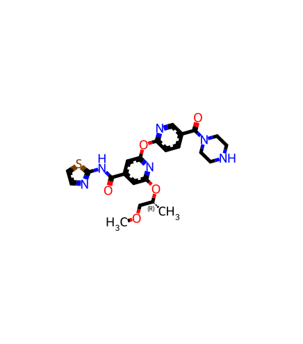 COC[C@@H](C)Oc1cc(C(=O)Nc2nccs2)cc(Oc2ccc(C(=O)N3CCNCC3)cn2)n1